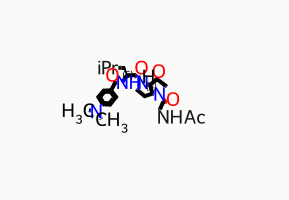 CC(=O)NCC(=O)N1CC(=O)[C@@H]2C1CCN2C(=O)[C@H](CC(C)C)NC(=O)c1ccc(N(C)C)cc1